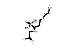 O=C(O)CNC(CCOCCO)P(=O)(O)O